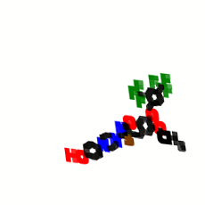 COc1cc(/C=C2/SC(N3CCN(c4ccc(O)cc4)CC3)=NC2=O)ccc1OCc1ccc(C(F)(F)F)cc1C(F)(F)F